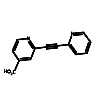 O=C(O)c1ccnc(C#Cc2ccccn2)c1